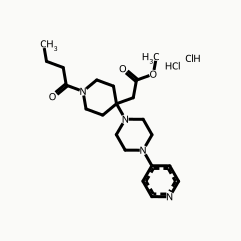 CCCC(=O)N1CCC(CC(=O)OC)(N2CCN(c3ccncc3)CC2)CC1.Cl.Cl